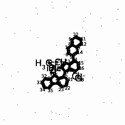 CCC(C)C1=Cc2c(-c3ccc4ccccc4c3)cccc2C1c1cccc2c1[CH]([Zr+2][SiH](C)C)c1ccccc1-2.[Cl-].[Cl-]